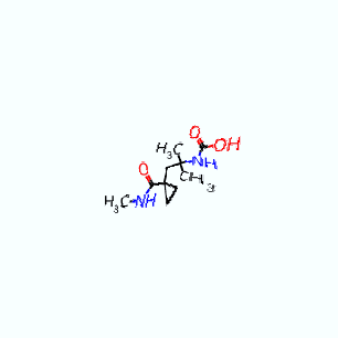 CNC(=O)C1(CC(C)(C)NC(=O)O)CC1